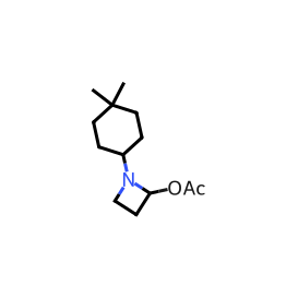 CC(=O)OC1CCN1C1CCC(C)(C)CC1